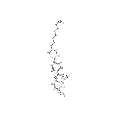 CCCCCCCCC1CCC(c2ccc(C(=O)Oc3ccc(C)cc3C#N)cc2)CC1